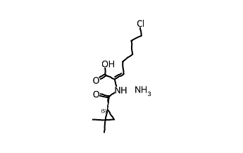 CC1(C)C[C@@H]1C(=O)NC(=CCCCCCl)C(=O)O.N